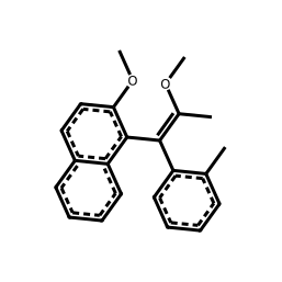 CO/C(C)=C(/c1ccccc1C)c1c(OC)ccc2ccccc12